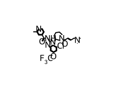 Cc1cc(C(=O)Nc2nc3cc(OC(F)(F)F)cc(Cl)c3n2[C@@H]2CCCCN(C(=O)/C=C/CN(C)C)C2)ccn1